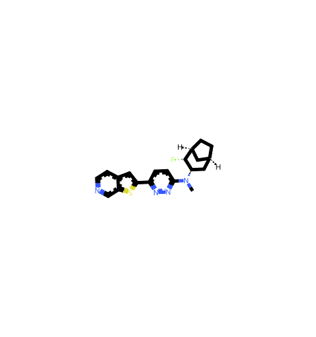 CN(c1ccc(-c2cc3ccncc3s2)nn1)[C@H]1C[C@@H]2CC[C@@H](C2)[C@H]1F